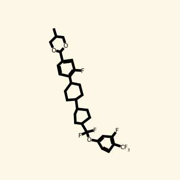 CC1COC(c2ccc(C3CCC(C4CCC(C(F)(F)Oc5ccc(C(F)(F)F)c(F)c5)CC4)CC3)c(F)c2)OC1